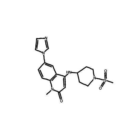 Cn1c(=O)cc(NC2CCN(S(C)(=O)=O)CC2)c2cc(-n3ccnc3)ccc21